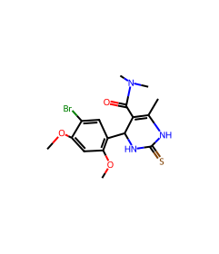 COc1cc(OC)c(C2NC(=S)NC(C)=C2C(=O)N(C)C)cc1Br